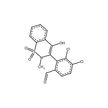 CN1C(c2c(C=O)ccc(Cl)c2Cl)=C(O)c2ccccc2S1(=O)=O